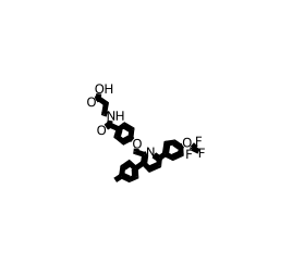 Cc1ccc(-c2ccc(-c3ccc(OC(F)(F)F)cc3)nc2COc2ccc(C(=O)NCCC(=O)O)cc2)cc1